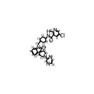 Cc1ncc(Cl)cc1C(=O)NC1CCC(CN2C(=O)C3(CCN(c4cnccn4)CC3)c3ccccc32)CC1